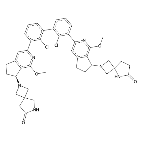 COc1nc(-c2cccc(-c3cccc(-c4cc5c(c(OC)n4)[C@@H](N4CC6(CNC(=O)C6)C4)CC5)c3Cl)c2Cl)cc2c1C(N1CC3(CCC(=O)N3)C1)CC2